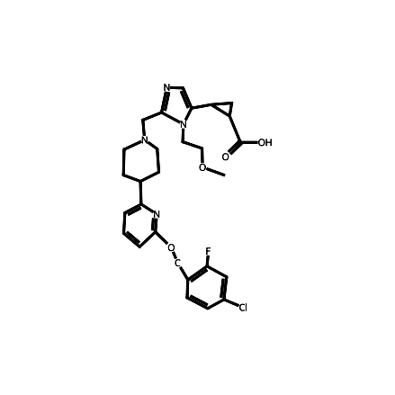 COCCn1c(C2CC2C(=O)O)cnc1CN1CCC(c2cccc(OCc3ccc(Cl)cc3F)n2)CC1